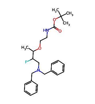 CC(OCCNC(=O)OC(C)(C)C)C(F)CN(Cc1ccccc1)Cc1ccccc1